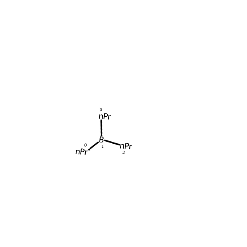 CCCB(CCC)CCC